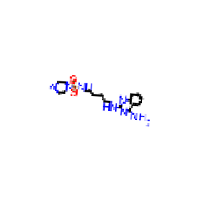 CN1CCN(S(=O)(=O)NCCCCCCNc2nc(N)c3ccccc3n2)CC1